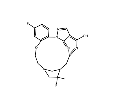 Oc1nc2nc3c1cnn3-c1ccc(F)cc1OCCN1CC(C2)C(F)(F)C1